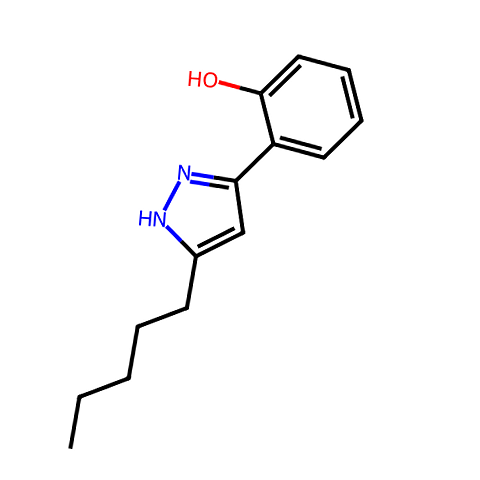 CCCCCc1cc(-c2ccccc2O)n[nH]1